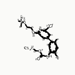 Cc1cc(F)c(NC(=O)OCC(Cl)(Cl)Cl)cc1-c1cc(Cl)nc(OCCO[Si](C)(C)C(C)(C)C)c1